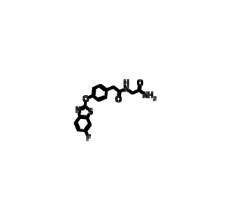 NC(=O)CNC(=O)Cc1ccc(Oc2nc3ccc(F)cc3s2)cc1